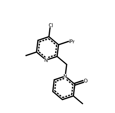 Cc1cc(Cl)c(C(C)C)c(Cn2cccc(C)c2=O)n1